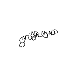 O=C1N(Cc2ccc(N3CC4CCC(C3)O4)cn2)CCN1CC(O)CN1CCc2ccccc2C1